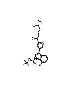 COC(=O)CCCC(=O)c1cc(-c2cn(C(=O)OC(C)(C)C)c3c(F)cccc23)cs1